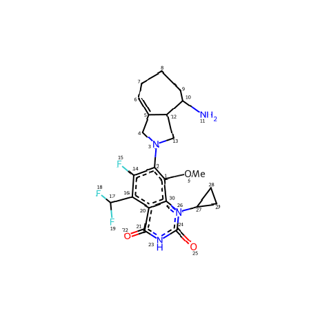 COc1c(N2CC3=CCCCC(N)C3C2)c(F)c(C(F)F)c2c(=O)[nH]c(=O)n(C3CC3)c12